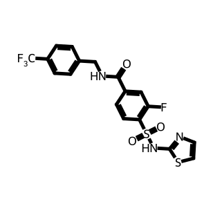 O=C(NCc1ccc(C(F)(F)F)cc1)c1ccc(S(=O)(=O)Nc2nccs2)c(F)c1